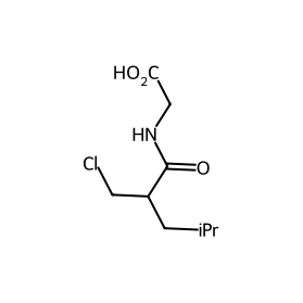 CC(C)CC(CCl)C(=O)NCC(=O)O